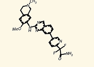 COc1cc2c(cc1Nc1ncc3ccc(-c4ccc(C(F)(F)C(N)=O)nc4)cc3n1)CN(C)CC2